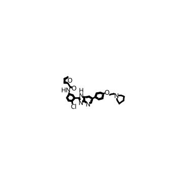 O=C(Nc1ccc(Cl)c(-c2nc3ncc(-c4ccc(OCCN5CCCCC5)cc4)cc3[nH]2)c1)c1ccco1